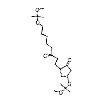 COC(C)(C)OCCCCCC(=O)CCC1CC(OC(C)(C)OC)CC1=O